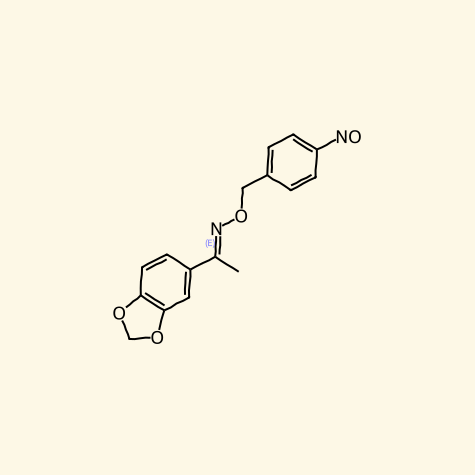 C/C(=N\OCc1ccc(N=O)cc1)c1ccc2c(c1)OCO2